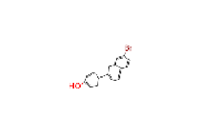 Oc1ccc(-c2ccc3ccc(Br)cc3c2)cc1